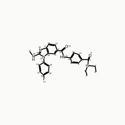 CCN(CC)C(=O)c1ccc(NC(=O)c2ccc3nc(NC)n(-c4ccc(F)cc4)c3c2)cc1